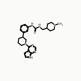 CN1CCC(CNC(=O)Nc2cccc(C3CCCN(c4ncnc5[nH]ccc45)C3)c2)CC1